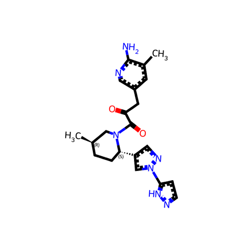 Cc1cc(CC(=O)C(=O)N2C[C@H](C)CC[C@H]2c2cnn(-c3ccn[nH]3)c2)cnc1N